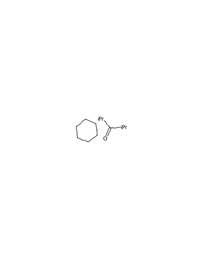 C1CCCCC1.CC(C)C(=O)C(C)C